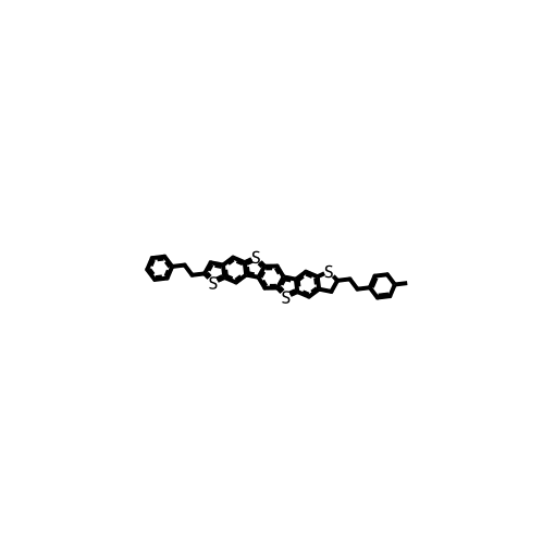 CC1C=CC(CCC2Cc3cc4sc5cc6c(cc5c4cc3S2)sc2cc3cc(CCc4ccccc4)sc3cc26)=CC1